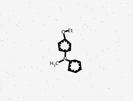 CCOc1ccc(N(C)c2cc[c]cc2)cc1